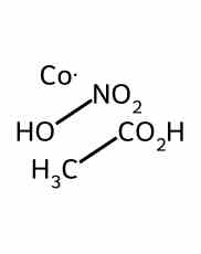 CC(=O)O.O=[N+]([O-])O.[Co]